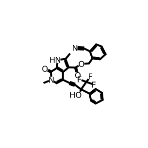 Cc1[nH]c2c(=O)n(C)cc(C#CC(O)(c3ccccc3)C(F)(F)F)c2c1C(=O)OCc1ccccc1C#N